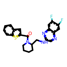 O=C(c1cc2ccccc2s1)N1CCCCC1CNc1cnc2cc(F)c(F)cc2n1